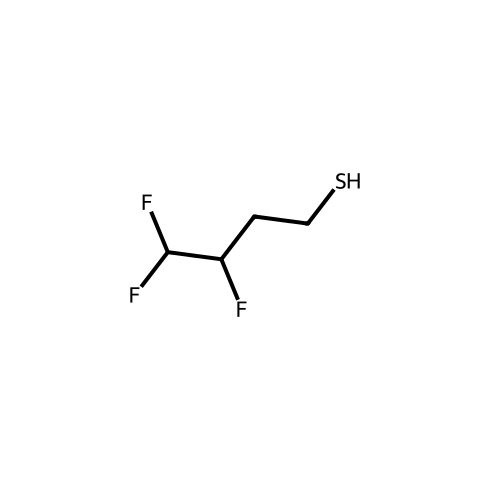 FC(F)C(F)CCS